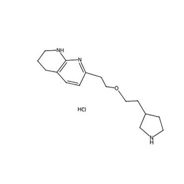 Cl.c1cc2c(nc1CCOCCC1CCNC1)NCCC2